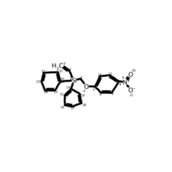 C=C[Si](COc1ccc([N+](=O)[O-])cc1)(c1ccccc1)c1ccccc1